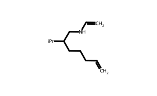 C=CCCCC(CNC=C)C(C)C